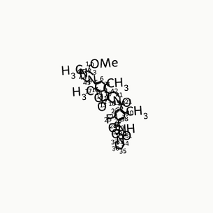 COC[C@H]1CN(c2cc(C)c3c4c(c(=O)oc3c2C)CN(C(=O)c2cc(F)c(C(=O)NS(=O)(=O)N3CCCC3)cc2C)CC4)CCN1C